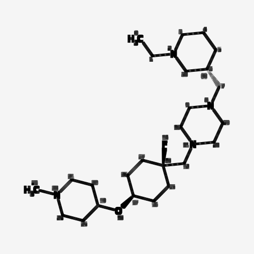 CCN1CCC[C@H](CN2CCN(C[C@]3(F)CC[C@@H](OC4CCN(C)CC4)CC3)CC2)C1